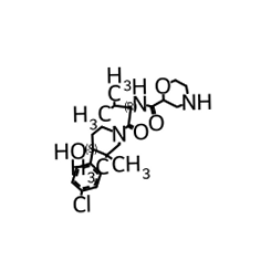 CC(C)[C@@H](NC(=O)C1CNCCO1)C(=O)N1CC[C@](O)(c2ccc(Cl)cc2)C(C)(C)C1